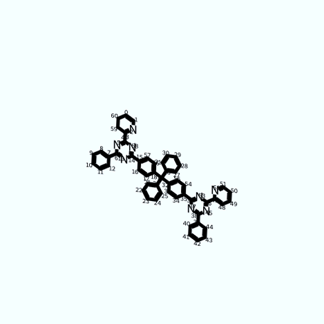 C1=CN=C(c2nc(-c3ccccc3)nc(-c3ccc(C(c4ccccc4)(c4ccccc4)c4ccc(-c5nc(-c6ccccc6)nc(-c6ccccn6)n5)cc4)cc3)n2)CC1